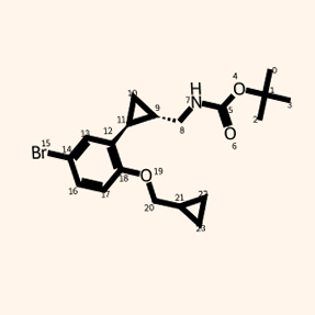 CC(C)(C)OC(=O)NC[C@H]1C[C@@H]1c1cc(Br)ccc1OCC1CC1